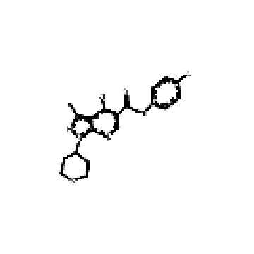 Cc1nn(C2CCSCC2)c2ncc(C(=O)Nc3ccc(Cl)cc3)c(Cl)c12